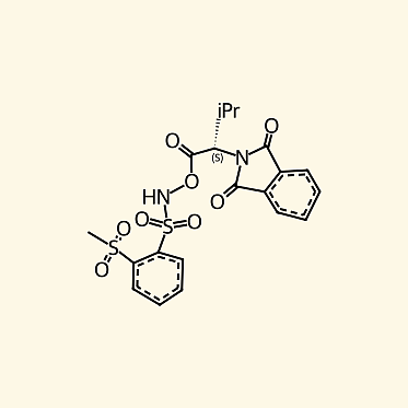 CC(C)[C@@H](C(=O)ONS(=O)(=O)c1ccccc1S(C)(=O)=O)N1C(=O)c2ccccc2C1=O